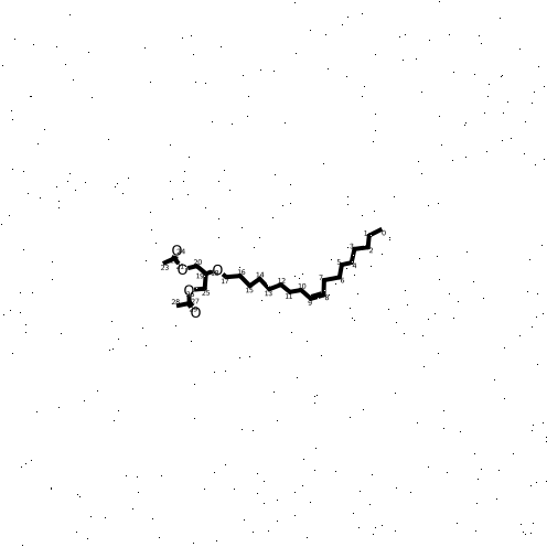 CCCCCCCC/C=C\CCCCCCCCOC(COC(C)=O)COC(C)=O